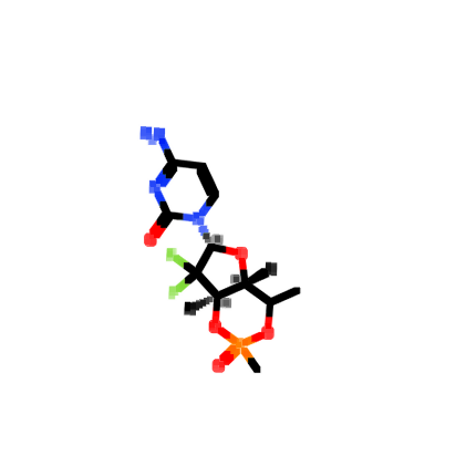 CC1OP(C)(=O)O[C@@H]2[C@@H]1O[C@@H](n1ccc(N)nc1=O)C2(F)F